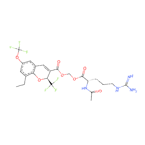 CCc1cc(OC(F)(F)F)cc2c1O[C@H](C(F)(F)F)C(C(=O)OCOC(=O)[C@H](CCCNC(=N)N)NC(C)=O)=C2